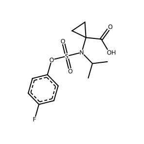 CC(C)N(C1(C(=O)O)CC1)S(=O)(=O)Oc1ccc(F)cc1